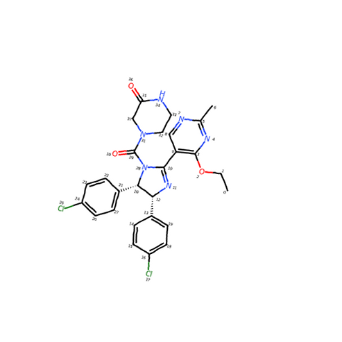 CCOc1nc(C)ncc1C1=N[C@H](c2ccc(Cl)cc2)[C@H](c2ccc(Cl)cc2)N1C(=O)N1CCNC(=O)C1